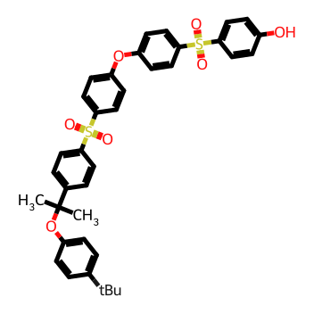 CC(C)(C)c1ccc(OC(C)(C)c2ccc(S(=O)(=O)c3ccc(Oc4ccc(S(=O)(=O)c5ccc(O)cc5)cc4)cc3)cc2)cc1